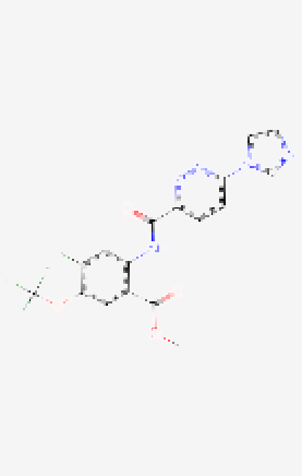 COC(=O)c1cc(OC(F)(F)F)c(F)cc1NC(=O)c1ccc(-n2ccnc2)nn1